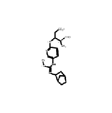 N#CNC(=NC1CC2CCC1C2)Nc1ccc(NC(CC(=O)O)[C@H](N)C=O)nc1